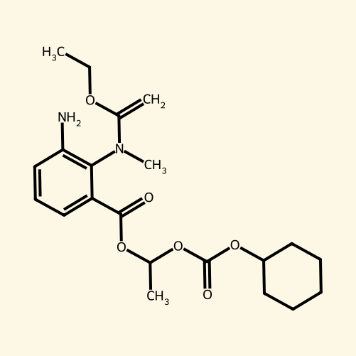 C=C(OCC)N(C)c1c(N)cccc1C(=O)OC(C)OC(=O)OC1CCCCC1